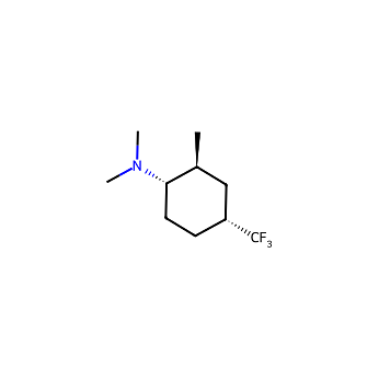 C[C@H]1C[C@H](C(F)(F)F)CC[C@@H]1N(C)C